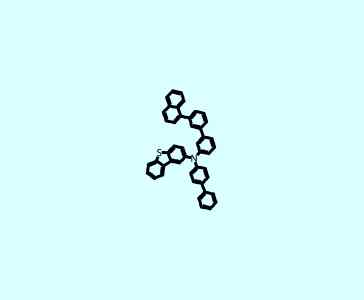 c1ccc(-c2ccc(N(c3cccc(-c4cccc(-c5cccc6ccccc56)c4)c3)c3ccc4sc5ccccc5c4c3)cc2)cc1